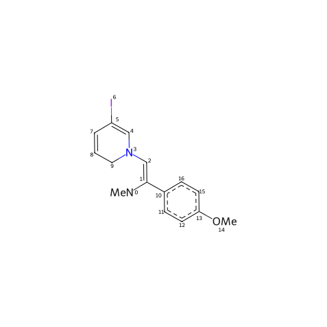 CN/C(=C\N1C=C(I)C=CC1)c1ccc(OC)cc1